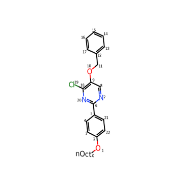 CCCCCCCCOc1ccc(-c2ncc(OCc3ccccc3)c(Cl)n2)cc1